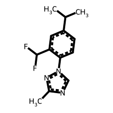 Cc1ncn(-c2ccc(C(C)C)cc2C(F)F)n1